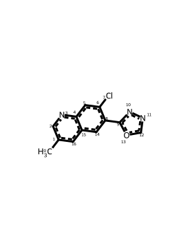 Cc1cnc2cc(Cl)c(-c3nnco3)cc2c1